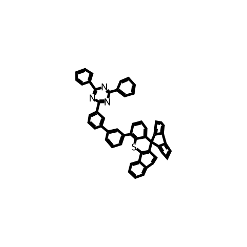 c1ccc(-c2nc(-c3ccccc3)nc(-c3cccc(-c4cccc(-c5cccc6c5Sc5c(ccc7ccccc57)C65c6ccccc6-c6ccccc65)c4)c3)n2)cc1